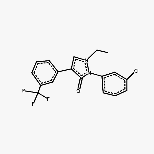 CCn1cc(-c2cccc(C(F)(F)F)c2)c(=O)n1-c1cccc(Cl)c1